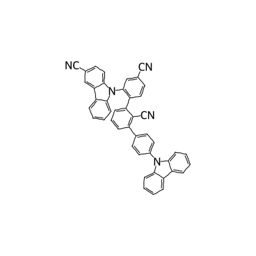 N#Cc1ccc(-c2cccc(-c3ccc(-n4c5ccccc5c5ccccc54)cc3)c2C#N)c(-n2c3ccccc3c3cc(C#N)ccc32)c1